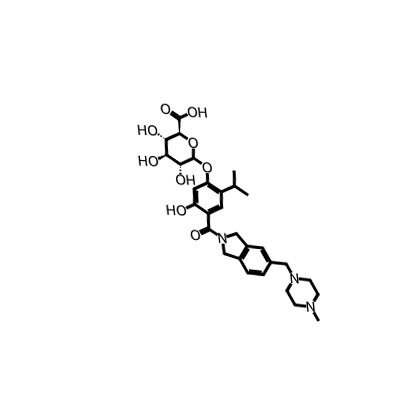 CC(C)c1cc(C(=O)N2Cc3ccc(CN4CCN(C)CC4)cc3C2)c(O)cc1OC1O[C@H](C(=O)O)[C@@H](O)[C@H](O)[C@H]1O